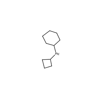 C1CCC(PC2CCC2)CC1